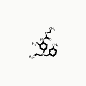 C=CCN(Cc1cccc(C)c1)c1ccc(NC(=O)OCC)c(N)c1